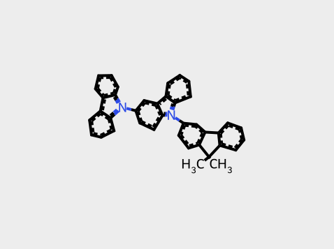 CC1(C)c2ccccc2-c2cc(-n3c4ccccc4c4cc(-n5c6ccccc6c6ccccc65)ccc43)ccc21